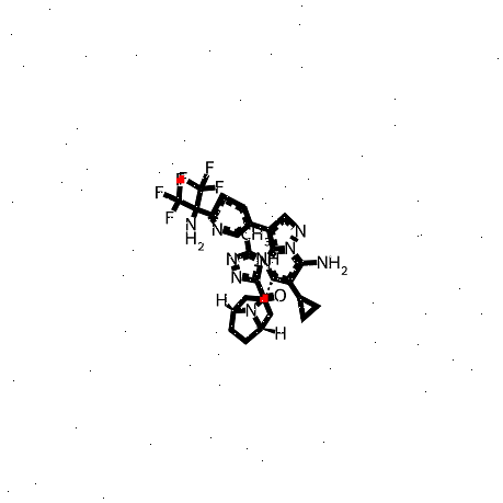 Cc1nnc(C(=O)N2[C@@H]3CC[C@H]2C[C@@H](c2nc4c(-c5ccc(C(N)(C(F)(F)F)C(F)(F)F)nc5)cnn4c(N)c2C2CC2)C3)[nH]1